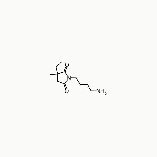 CCC1(C)CC(=O)N(CCCCN)C1=O